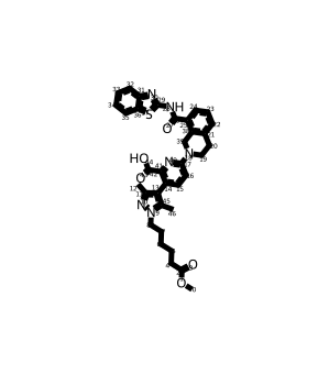 COC(=O)CCCCCn1nc(C)c(-c2ccc(N3CCc4cccc(C(=O)Nc5nc6ccccc6s5)c4C3)nc2C(=O)O)c1C